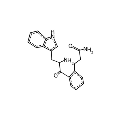 NC(=O)CCc1ccccc1C(=O)C(N)Cc1c[nH]c2ccccc12